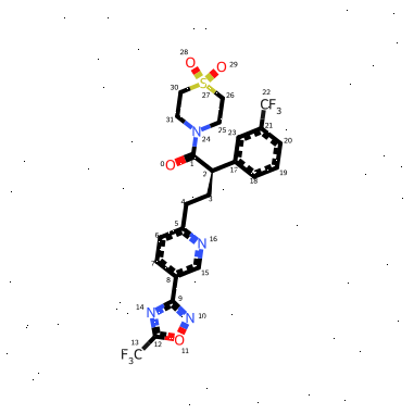 O=C([C@H](CCc1ccc(-c2noc(C(F)(F)F)n2)cn1)c1cccc(C(F)(F)F)c1)N1CCS(=O)(=O)CC1